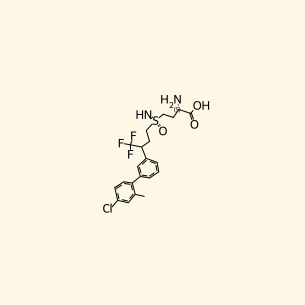 Cc1cc(Cl)ccc1-c1cccc(C(CCS(=N)(=O)CC[C@H](N)C(=O)O)C(F)(F)F)c1